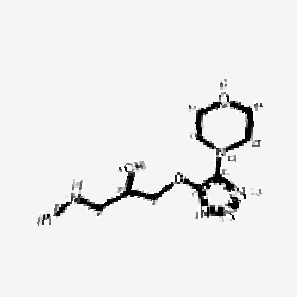 CC(C)NCC(O)COc1nsnc1N1CCOCC1